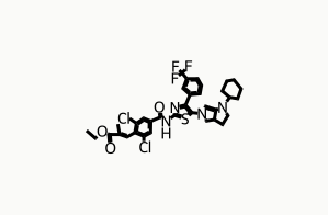 CCOC(=O)/C(C)=C/c1c(Cl)cc(C(=O)Nc2nc(-c3cccc(C(F)(F)F)c3)c(N3C=C4C(CCN4C4CCCCC4)C3)s2)cc1Cl